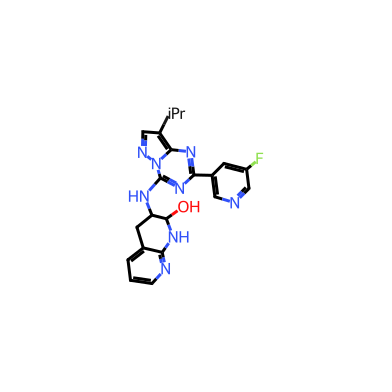 CC(C)c1cnn2c(NC3Cc4cccnc4NC3O)nc(-c3cncc(F)c3)nc12